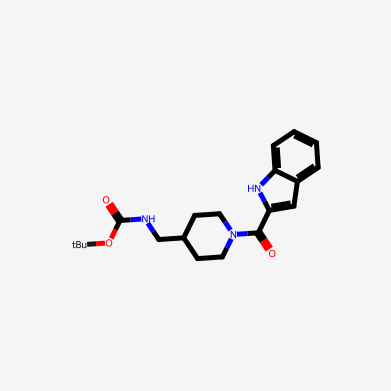 CC(C)(C)OC(=O)NCC1CCN(C(=O)c2cc3ccccc3[nH]2)CC1